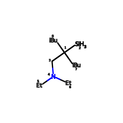 CCC(C)C([SiH3])(CN(CC)CC)C(C)CC